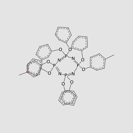 Cc1ccc(OP2(Oc3ccccc3)=NP(Oc3ccccc3)(Oc3ccccc3)=NP(Oc3ccccc3)(Oc3ccc(C)cc3)=NP(Oc3ccccc3)(Oc3ccccc3)=N2)cc1